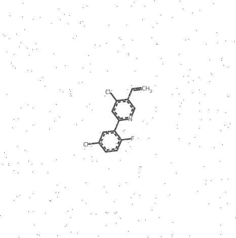 C=Cc1cnc(-c2cc(Cl)ccc2F)cc1Cl